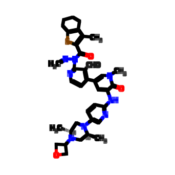 C=NN(C(=O)c1sc2c(c1C)CCCC2)c1nccc(-c2cc(Nc3ccc(N4C[C@@H](C)N(C5COC5)C[C@@H]4C)cn3)c(=O)n(C)c2)c1C=O